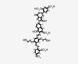 NC(=O)c1nn(-c2ccc3c(O)c(/N=N/c4cc(OCCO)c(/N=N/c5ccc([N+](=O)[O-])cc5S(=O)(=O)O)cc4OCCO)c(S(=O)(=O)O)cc3c2)c(O)c1/N=N/c1ccc(S(=O)(=O)O)cc1C(=O)O